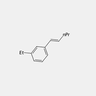 CCCC=Cc1cccc(CC)c1